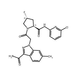 Cc1ccc2c(C(N)=O)nn(CC(=O)N3C[C@H](F)C[C@H]3C(=O)Nc3cccc(Cl)n3)c2c1